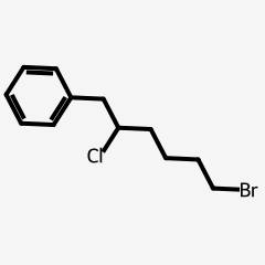 ClC(CCCCBr)Cc1ccccc1